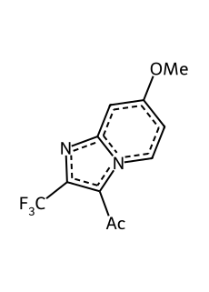 COc1ccn2c(C(C)=O)c(C(F)(F)F)nc2c1